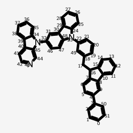 c1ccc(-c2ccc3c(c2)-c2ccccc2C3Cc2cccc(-n3c4ccccc4c4cc(-n5c6ccccc6c6ccncc65)ccc43)c2)cc1